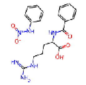 N=C(N)NCCCC(NC(=O)c1ccccc1)C(=O)O.O=[N+]([O-])Nc1ccccc1